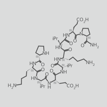 CC(C)[C@H](NC(=O)[C@H](CCCCN)NC(=O)[C@@H]1CCCN1)C(=O)N[C@@H](CCC(=O)O)C(=O)N[C@H](C(=O)N[C@@H](CCCCN)C(=O)N[C@H](C(=O)N[C@@H](CCC(=O)O)C(=O)N1CCC[C@H]1C(N)=O)C(C)C)C(C)C